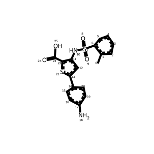 Cc1ccccc1S(=O)(=O)Nc1cc(-c2ccc(N)cc2)sc1C(=O)O